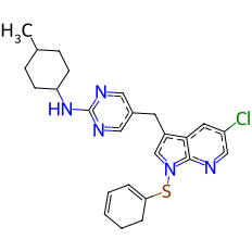 CC1CCC(Nc2ncc(Cc3cn(SC4=CC=CCC4)c4ncc(Cl)cc34)cn2)CC1